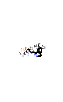 C=C1NC(CCc2nccc3cc(C#N)c(C)cc23)C(CC)C1P